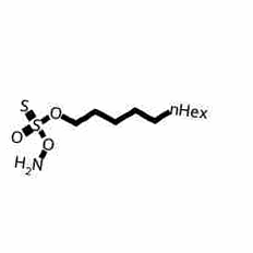 CCCCCCCCCCCOS(=O)(=S)ON